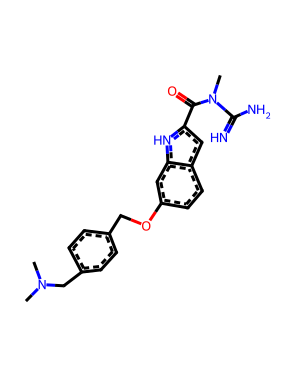 CN(C)Cc1ccc(COc2ccc3cc(C(=O)N(C)C(=N)N)[nH]c3c2)cc1